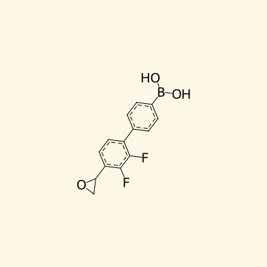 OB(O)c1ccc(-c2ccc(C3CO3)c(F)c2F)cc1